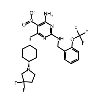 Nc1nc(NCc2ccccc2OC(F)(F)F)nc(C[C@H]2CC[C@H](N3CCC(F)(F)C3)CC2)c1[N+](=O)[O-]